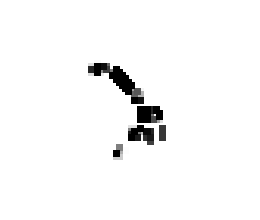 [MgH+].[OH-].[O]=[AlH].[Zr]